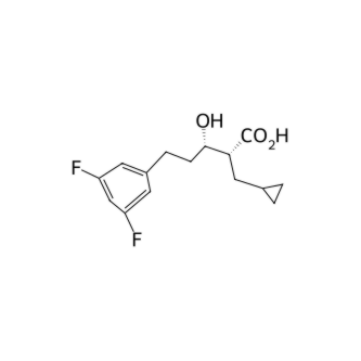 O=C(O)[C@H](CC1CC1)[C@@H](O)CCc1cc(F)cc(F)c1